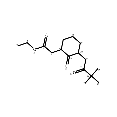 CCOC(=O)CC1CCCC(CC(=O)C(C)(C)C)C1=O